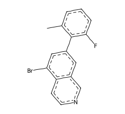 Cc1cccc(F)c1-c1cc(Br)c2ccncc2c1